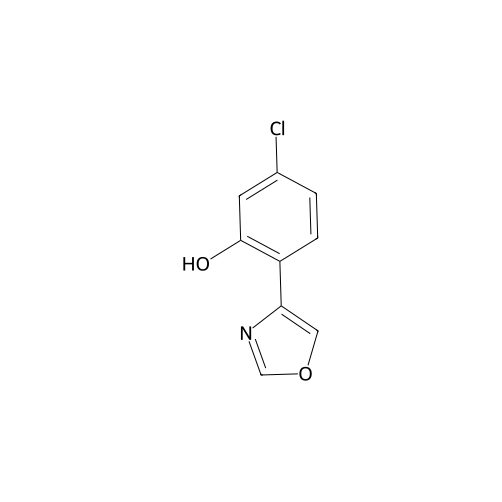 Oc1cc(Cl)ccc1-c1cocn1